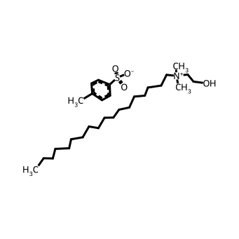 CCCCCCCCCCCCCCCCCC[N+](C)(C)CCO.Cc1ccc(S(=O)(=O)[O-])cc1